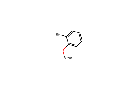 C[CH]c1ccccc1OCCCCC